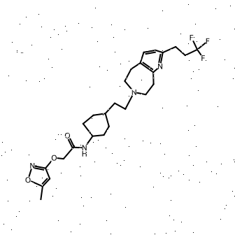 Cc1cc(OCC(=O)NC2CCC(CCN3CCc4ccc(CCC(F)(F)F)nc4CC3)CC2)no1